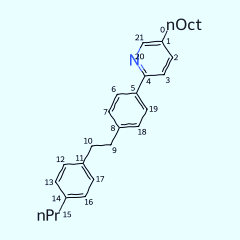 CCCCCCCCc1ccc(-c2ccc(CCc3ccc(CCC)cc3)cc2)nc1